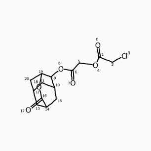 O=C(CCl)OCC(=O)OC1C2CC3CC(C2)C(=O)OC1C3